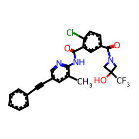 Cc1cc(C#Cc2ccccc2)cnc1NC(=O)c1cc(C(=O)N2CC(O)(C(F)(F)F)C2)ccc1Cl